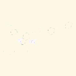 CCOC(=O)C(C)(C)Cc1c(SC(C)(C)C)c2cc(OC(C(=O)Cc3ccc(OCc4ccccc4)cc3)C3CCCN3)ccc2n1Cc1ccc(Cl)cc1